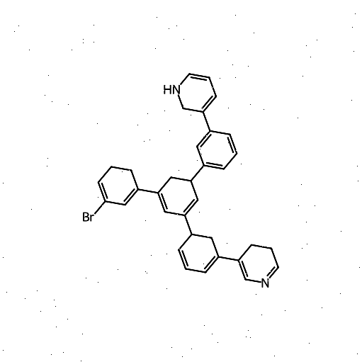 BrC1=CCCC(C2=CC(C3C=CC=C(C4=CN=CCC4)C3)=CC(c3cccc(C4=CC=CNC4)c3)C2)=C1